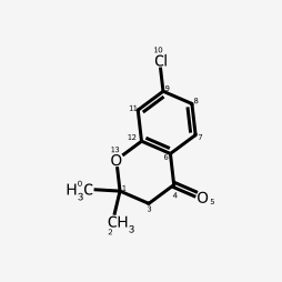 CC1(C)CC(=O)c2ccc(Cl)cc2O1